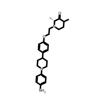 CC1CCN(CCOc2ccc(C3CCN(c4ccc(N)cc4)CC3)cc2)[C@H](C)C1=O